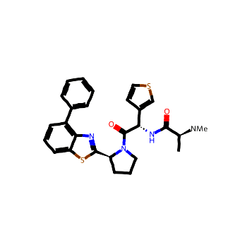 CN[C@@H](C)C(=O)N[C@H](C(=O)N1CCC[C@H]1c1nc2c(-c3ccccc3)cccc2s1)c1ccsc1